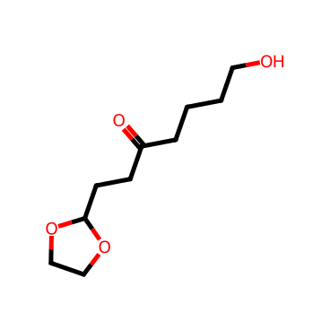 O=C(CCCCO)CCC1OCCO1